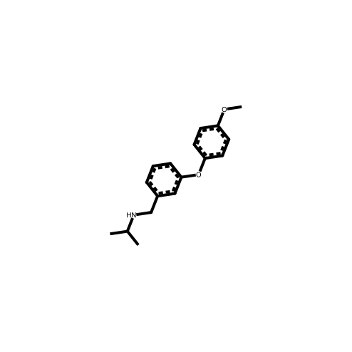 COc1ccc(Oc2cccc(CNC(C)C)c2)cc1